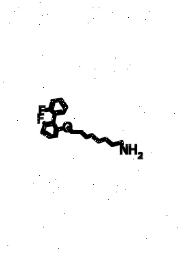 NCCCCCCCCOc1cccc(F)c1-c1ccccc1F